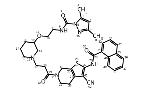 Cc1cc(C)n(C(=O)NCCOC2CCCN(CCC(=O)N3CCc4c(sc(NC(=O)c5cccc6ccccc56)c4C#N)C3)C2)n1